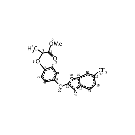 COC(=O)C(C)Oc1ccc(Oc2nc3ccc(C(F)(F)F)cc3s2)cc1